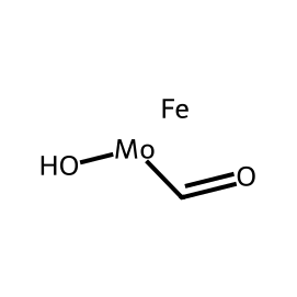 O=[CH][Mo][OH].[Fe]